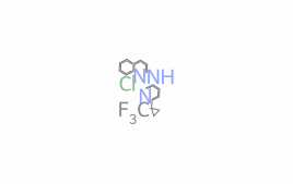 FC(F)(F)C1(c2ccc(Nc3ccc4cccc(Cl)c4n3)cn2)CC1